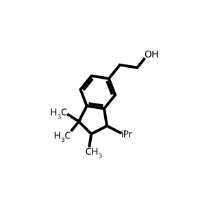 CC(C)C1c2cc(CCO)ccc2C(C)(C)C1C